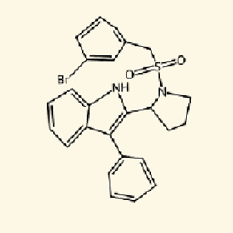 O=S(=O)(Cc1cccc(Br)c1)N1CCCC1c1[nH]c2ccccc2c1-c1ccccc1